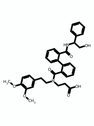 COc1ccc(CCN(CCC(=O)O)C(=O)c2ccccc2-c2ccccc2C(=O)NC(CO)c2ccccc2)cc1OC